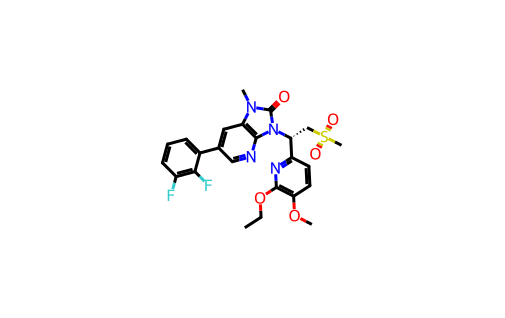 CCOc1nc([C@@H](CS(C)(=O)=O)n2c(=O)n(C)c3cc(-c4cccc(F)c4F)cnc32)ccc1OC